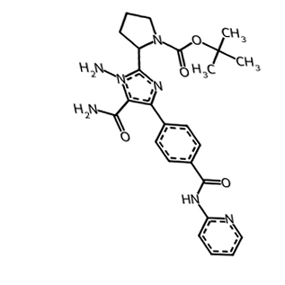 CC(C)(C)OC(=O)N1CCCC1c1nc(-c2ccc(C(=O)Nc3ccccn3)cc2)c(C(N)=O)n1N